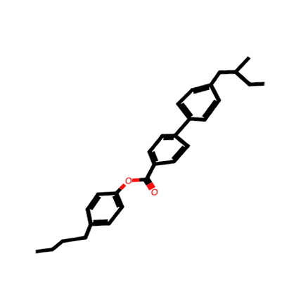 CCCCc1ccc(OC(=O)c2ccc(-c3ccc(CC(C)CC)cc3)cc2)cc1